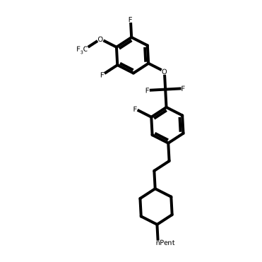 CCCCCC1CCC(CCc2ccc(C(F)(F)Oc3cc(F)c(OC(F)(F)F)c(F)c3)c(F)c2)CC1